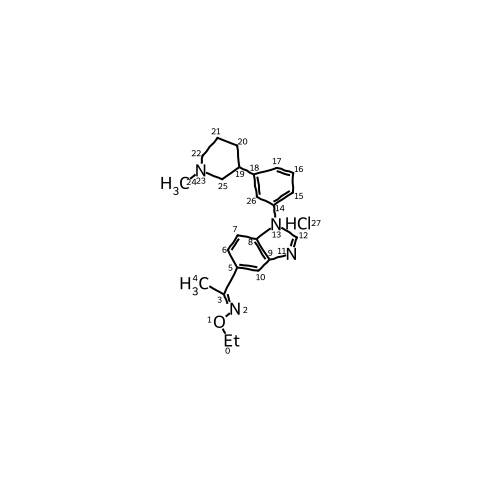 CCON=C(C)c1ccc2c(c1)ncn2-c1cccc(C2CCCN(C)C2)c1.Cl